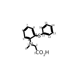 CN(CC(=O)O)c1ccccc1Sc1ccccc1